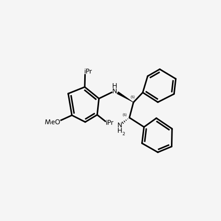 COc1cc(C(C)C)c(N[C@@H](c2ccccc2)[C@@H](N)c2ccccc2)c(C(C)C)c1